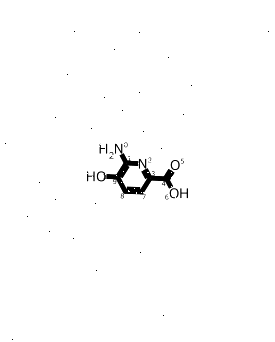 Nc1nc(C(=O)O)ccc1O